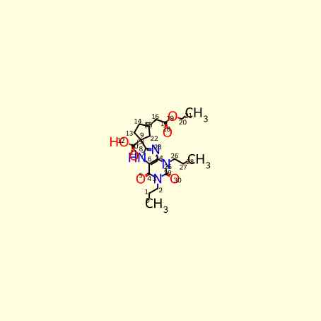 CCCn1c(=O)c2[nH]c([C@]3(C(=O)O)CC[C@@H](CC(=O)OCC)C3)nc2n(CCC)c1=O